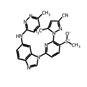 Cc1ccc(Nc2ccc3ncn(-c4ccc([S+](C)[O-])c(-n5nc(C#N)cc5C)n4)c3c2)nn1